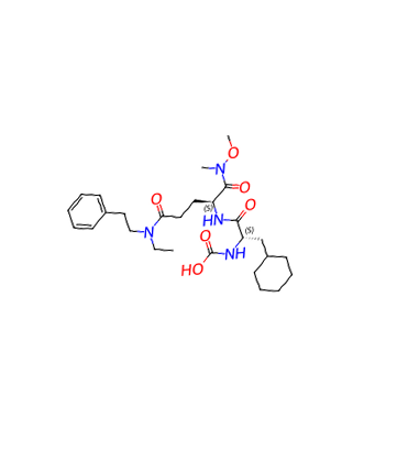 CCN(CCc1ccccc1)C(=O)CC[C@H](NC(=O)[C@H](CC1CCCCC1)NC(=O)O)C(=O)N(C)OC